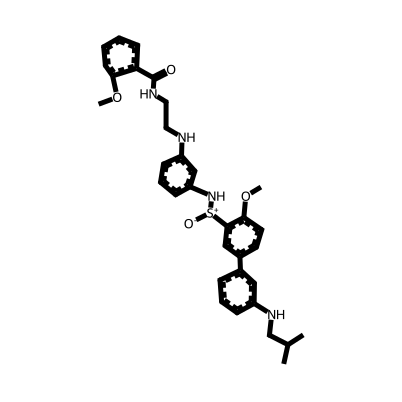 COc1ccccc1C(=O)NCCNc1cccc(N[S+]([O-])c2cc(-c3cccc(NCC(C)C)c3)ccc2OC)c1